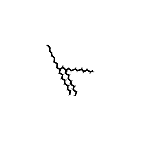 CCCCCCCCCC(CCCCCCCCC)CC(CCCCCCCCC)CCCCCCCCC